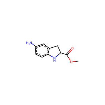 COC(=O)C1Cc2cc(N)ccc2N1